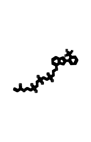 C=CC(=O)OCCS(=O)(=O)CCS(=O)(=O)CCS(=O)(=O)CCOc1cccc2c1CC(c1ccccc1C(F)(F)F)=C2